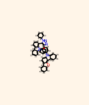 c1ccc(-c2nnn(-c3ccccc3)c2-c2cccc3c4ccccc4n(-c4cccc(-n5c6ccccc6c6c7oc8ccccc8c7ccc65)c4)c23)cc1